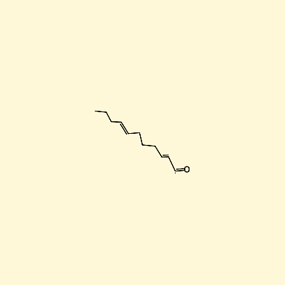 CCC/C=C/CCC/C=C/[C]=O